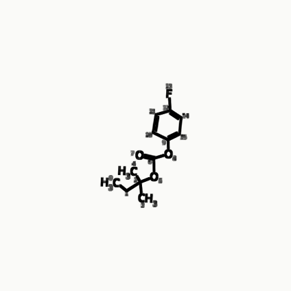 CCC(C)(C)OC(=O)Oc1ccc(F)cc1